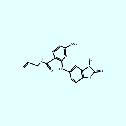 C=CCNC(=O)c1cnc(SC)nc1Nc1ccc2oc(=O)n(CC)c2c1